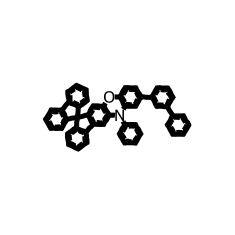 c1ccc(-c2cccc(-c3ccc4c(c3)N(c3ccccc3)c3cc5c(cc3O4)C3(c4ccccc4-c4ccccc43)c3ccccc3-5)c2)cc1